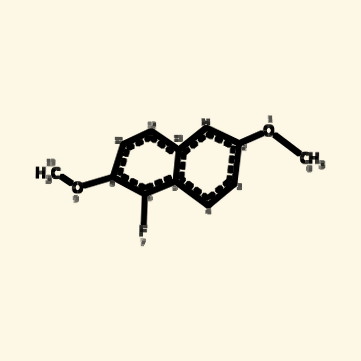 COc1ccc2c(F)c(OC)ccc2c1